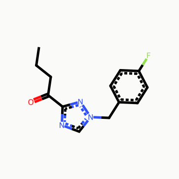 CCCC(=O)c1ncn(Cc2ccc(F)cc2)n1